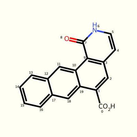 O=C(O)c1cc2cc[nH]c(=O)c2c2cc3ccccc3cc12